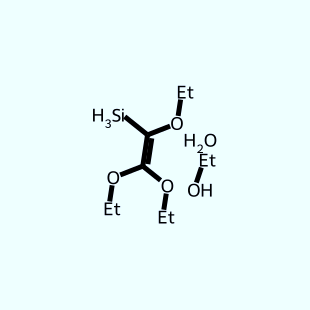 CCO.CCOC([SiH3])=C(OCC)OCC.O